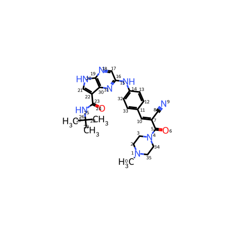 CN1CCN(C(=O)/C(C#N)=C/c2ccc(Nc3cnc4[nH]cc(C(=O)NC(C)(C)C)c4n3)cc2)CC1